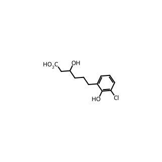 O=C(O)CC(O)CCCc1cccc(Cl)c1O